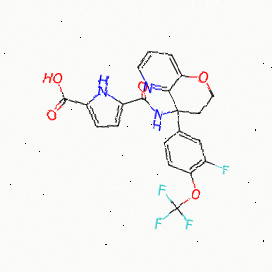 O=C(O)c1ccc(C(=O)NC2(c3ccc(OC(F)(F)F)c(F)c3)CCOc3cccnc32)[nH]1